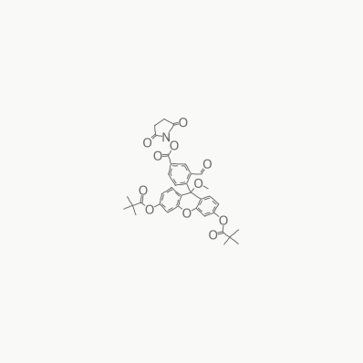 COC1(c2ccc(C(=O)ON3C(=O)CCC3=O)cc2C=O)c2ccc(OC(=O)C(C)(C)C)cc2Oc2cc(OC(=O)C(C)(C)C)ccc21